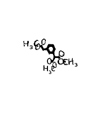 COC(=O)Cc1cccc(C(C(=O)OC)C(=O)OC)c1